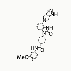 COc1cc(NC(=O)[C@H]2CC[C@@H](n3c(=O)[nH]c4c(N5Cc6cn[nH]c6C5)cccc43)CC2)ccc1C